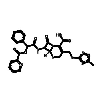 Cc1nnc(SCC2=C(C(=O)O)N3C(=O)C(NC(=O)C(OC(=O)c4ccccn4)c4ccccc4)[C@@H]3SC2)s1